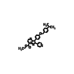 CCOC(=O)c1ccnc2c(-c3ccc(OCc4ccc(C(C)C)cc4)cc3)c(-c3ccncc3)nn12